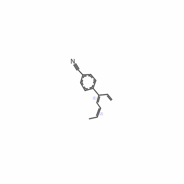 C=C/C(=C\C=C/C)c1ccc(C#N)cc1